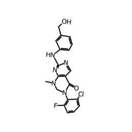 CN1CN(c2c(F)cccc2Cl)C(=O)c2cnc(Nc3cccc(CO)c3)nc21